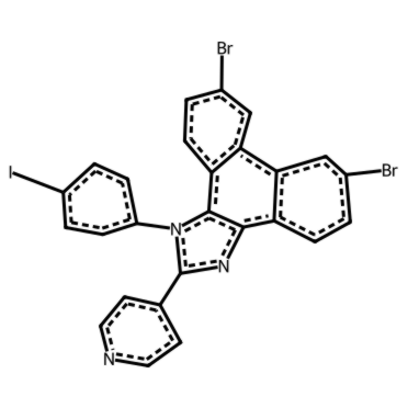 Brc1ccc2c(c1)c1cc(Br)ccc1c1c2nc(-c2ccncc2)n1-c1ccc(I)cc1